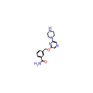 NC(=O)c1cccc(COc2cncc(N3CCNCC3)n2)c1